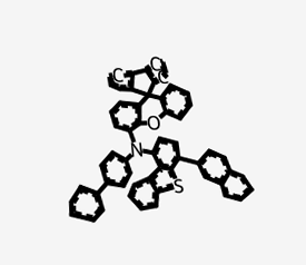 c1ccc(-c2ccc(N(c3cccc4c3Oc3ccccc3C43c4ccccc4-c4ccccc43)c3ccc(-c4ccc5ccccc5c4)c4sc5ccccc5c34)cc2)cc1